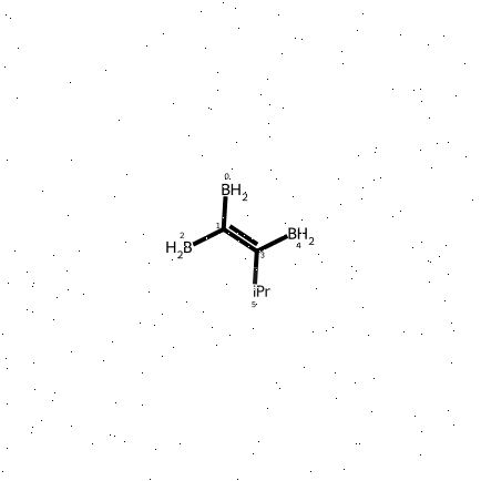 BC(B)=C(B)C(C)C